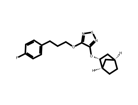 Fc1ccc(CCCOc2nsnc2O[C@@H]2C[C@H]3CC[C@@H]2C3)cc1